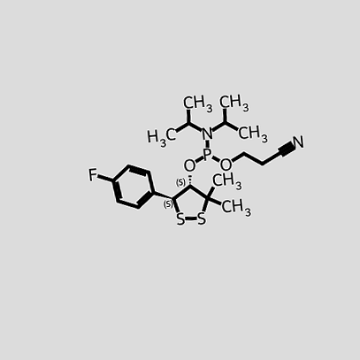 CC(C)N(C(C)C)P(OCCC#N)O[C@H]1[C@H](c2ccc(F)cc2)SSC1(C)C